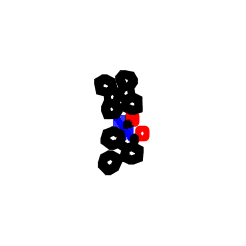 O=c1c2cccc(-c3ccccc3)c2c2cccc3c2n1c(=O)n3-c1ccc2c(c1)C1(c3ccccc3-c3ccccc31)c1ccccc1-2